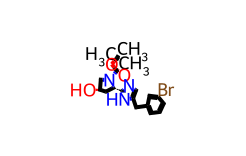 CC(C)(C)OC(=O)N1C[C@H](O)C[C@H]1c1ncc(Cc2cccc(Br)c2)[nH]1